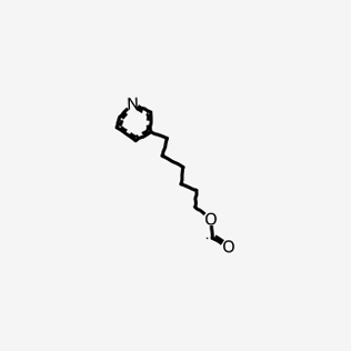 O=[C]OCCCCCCc1cccnc1